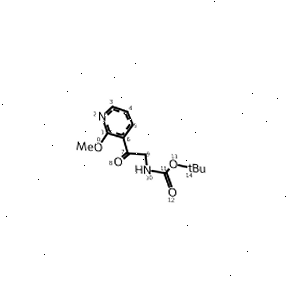 COc1ncccc1C(=O)CNC(=O)OC(C)(C)C